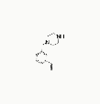 C=Cc1cccc(CN2CCNCC2)c1